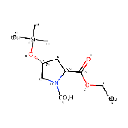 CC(C)(C)COC(=O)[C@@H]1C[C@@H](O[Si](C)(C)C(C)(C)C)CN1C(=O)O